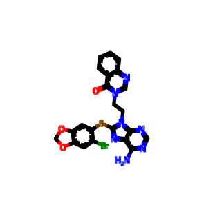 Nc1ncnc2c1nc(Sc1cc3c(cc1Br)OCO3)n2CCn1cnc2ccccc2c1=O